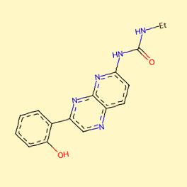 CCNC(=O)Nc1ccc2ncc(-c3ccccc3O)nc2n1